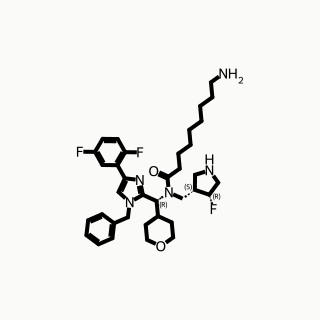 NCCCCCCCCC(=O)N(C[C@@H]1CNC[C@@H]1F)[C@@H](c1nc(-c2cc(F)ccc2F)cn1Cc1ccccc1)C1CCOCC1